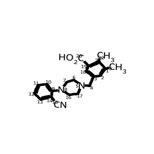 Cc1cc(CN2CCN(c3ccccc3C#N)CC2)cc(C(=O)O)c1C